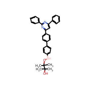 CC(C)(O)C(C)(C)OBc1ccc(-c2ccc(-c3cc(-c4ccccc4)nc(-c4ccccc4)n3)cc2)cc1